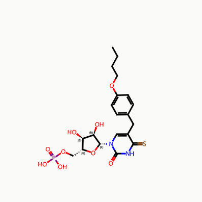 CCCCOc1ccc(Cc2cn([C@@H]3O[C@H](COP(=O)(O)O)[C@@H](O)[C@H]3O)c(=O)[nH]c2=S)cc1